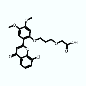 COc1cc(OCCCOCC(=O)O)c(-c2cc(=O)c3cccc(Cl)c3o2)cc1OC